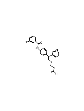 O=C(O)CCCC=C(c1ccc(NC(=O)c2cccc(Cl)c2)cc1)c1cccnc1